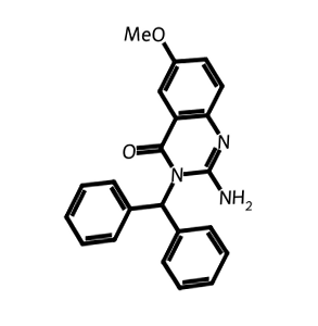 COc1ccc2nc(N)n(C(c3ccccc3)c3ccccc3)c(=O)c2c1